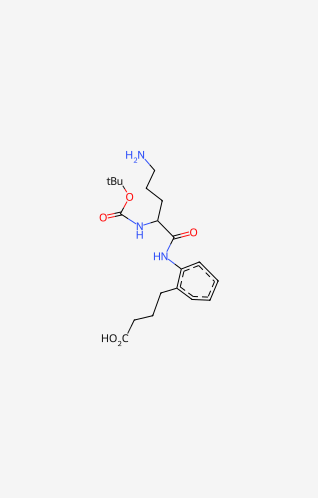 CC(C)(C)OC(=O)NC(CCCN)C(=O)Nc1ccccc1CCCC(=O)O